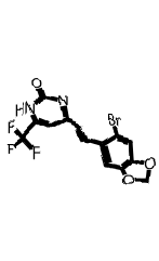 O=c1nc(C=Cc2cc3c(cc2Br)OCO3)cc(C(F)(F)F)[nH]1